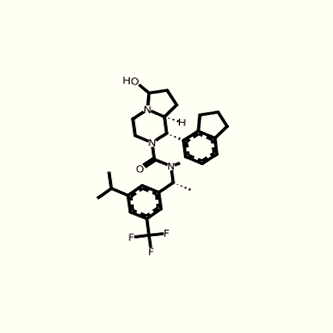 CC(C)c1cc([C@@H](C)N(C)C(=O)N2CCN3C(O)CC[C@H]3[C@@H]2c2cccc3c2CCC3)cc(C(F)(F)F)c1